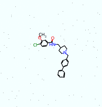 COc1cc(C(=O)NCC2CCN(Cc3ccc(-c4ccccc4)cc3)CC2)ccc1Cl